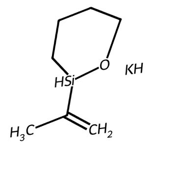 C=C(C)[SiH]1CCCCO1.[KH]